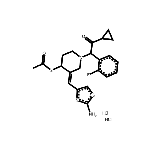 CC(=O)SC1CCN(C(C(=O)C2CC2)c2ccccc2F)C/C1=C\c1csc(N)n1.Cl.Cl